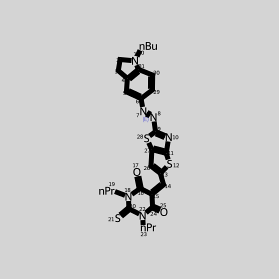 CCCCN1CCc2cc(/N=N/c3nc4sc(C=C5C(=O)N(CCC)C(=S)N(CCC)C5=O)cc4s3)ccc21